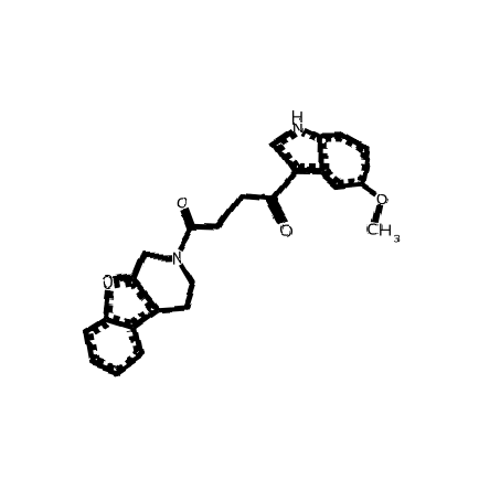 COc1ccc2[nH]cc(C(=O)CCC(=O)N3CCc4c(oc5ccccc45)C3)c2c1